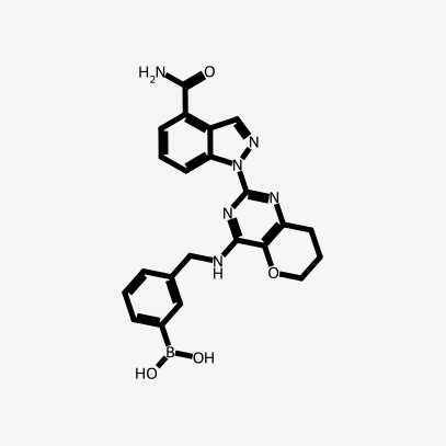 NC(=O)c1cccc2c1cnn2-c1nc2c(c(NCc3cccc(B(O)O)c3)n1)OCCC2